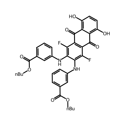 CCCCOC(=O)c1cccc(Nc2c(F)c3c(c(F)c2Nc2cccc(C(=O)OCCCC)c2)C(=O)c2c(O)ccc(O)c2C3=O)c1